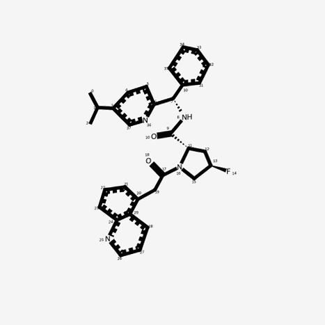 CC(C)c1ccc([C@@H](NC(=O)[C@@H]2C[C@@H](F)CN2C(=O)Cc2cccc3ncccc23)c2ccccc2)nc1